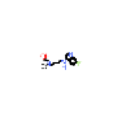 CCN(CCO)CCCCNc1ccnc2cc(F)ccc12